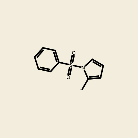 [CH2]c1cccn1S(=O)(=O)c1ccccc1